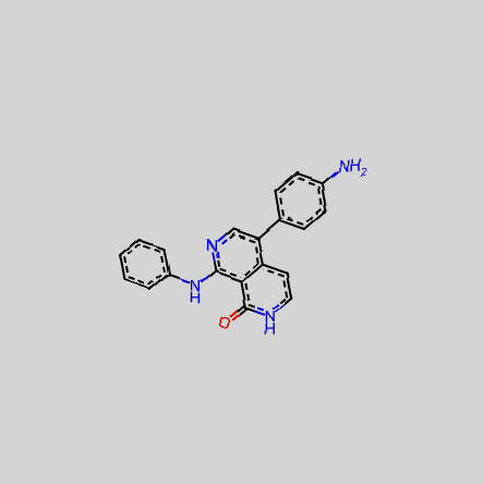 Nc1ccc(-c2cnc(Nc3ccccc3)c3c(=O)[nH]ccc23)cc1